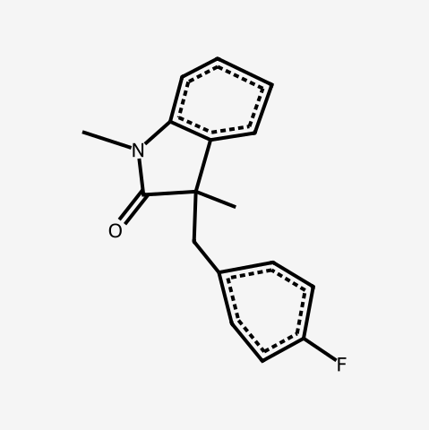 CN1C(=O)C(C)(Cc2ccc(F)cc2)c2ccccc21